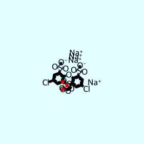 O=S(=O)([O-])c1cc(Cl)cc(S(=O)(=O)[O-])c1Oc1c(S(=O)(=O)[O-])cc(Cl)cc1S(=O)(=O)[O-].[Na+].[Na+].[Na+].[Na+]